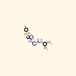 Cc1ccc(S(=O)(=O)n2ccc3c(N[C@H]4CCCN(C(=O)CNc5cc(C(F)(F)F)cc(C(F)(F)F)c5)C4)ncnc32)cc1